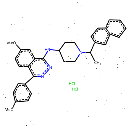 COc1ccc(-c2nnc(NC3CCN(C(C)c4ccc5ccccc5c4)CC3)c3cc(OC)ccc23)cc1.Cl.Cl